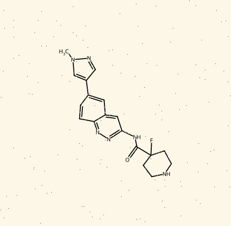 Cn1cc(-c2ccc3nnc(NC(=O)C4(F)CCNCC4)cc3c2)cn1